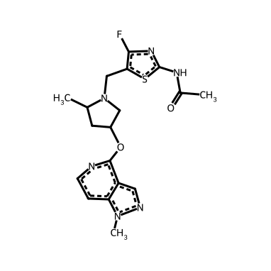 CC(=O)Nc1nc(F)c(CN2CC(Oc3nccc4c3cnn4C)CC2C)s1